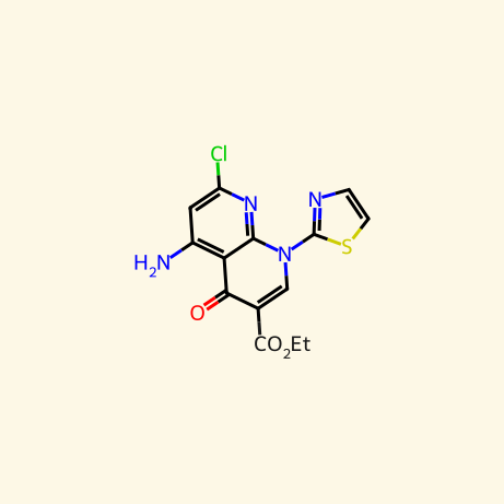 CCOC(=O)c1cn(-c2nccs2)c2nc(Cl)cc(N)c2c1=O